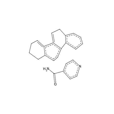 C1=c2c(ccc3c2=CCc2ccccc2-3)CCC1.NC(=O)c1ccncc1